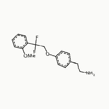 COc1ccccc1C(F)(F)COc1ccc(CCN)cc1